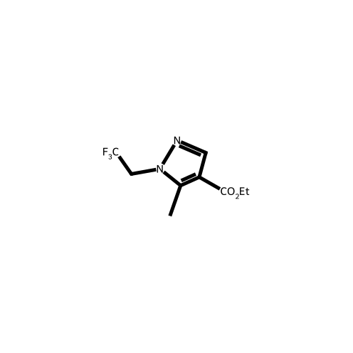 CCOC(=O)c1cnn(CC(F)(F)F)c1C